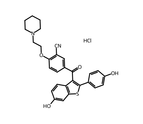 Cl.N#Cc1cc(C(=O)c2c(-c3ccc(O)cc3)sc3cc(O)ccc23)ccc1OCCN1CCCCC1